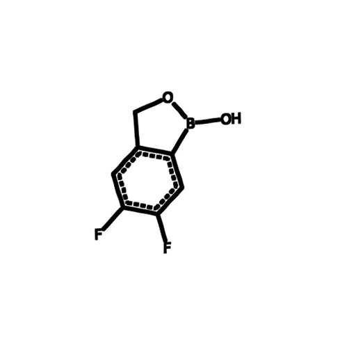 OB1OCc2cc(F)c(F)cc21